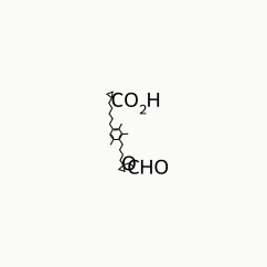 Cc1cc(CCCCCC2(C(=O)O)CC2)c(C)c(C)c1CCCCC1(OC=O)CC1